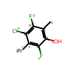 Cc1c(O)c(F)c(C(C)C)c(Cl)c1F